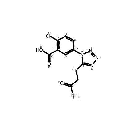 NC(=O)CSc1nnnn1-c1ccc(Cl)c(C(=O)O)c1